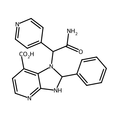 NC(=O)C(c1ccncc1)N1c2c(C(=O)O)ccnc2NC1c1ccccc1